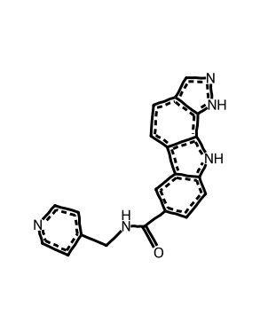 O=C(NCc1ccncc1)c1ccc2[nH]c3c(ccc4cn[nH]c43)c2c1